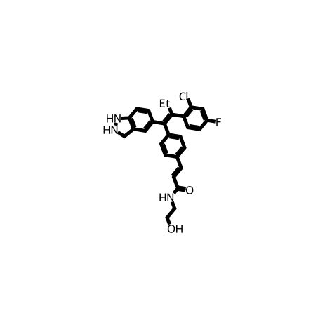 CC/C(=C(/c1ccc(/C=C/C(=O)NCCO)cc1)c1ccc2c(c1)CNN2)c1ccc(F)cc1Cl